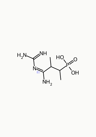 CC(/C(N)=N\C(=N)N)C(C)P(=O)(O)O